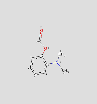 CN(C)c1ccccc1O[C]=O